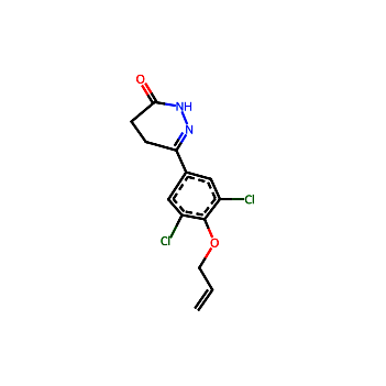 C=CCOc1c(Cl)cc(C2=NNC(=O)CC2)cc1Cl